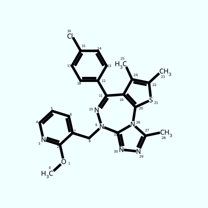 COc1ncccc1CN1N=C(c2ccc(Cl)cc2)c2c(sc(C)c2C)-n2c(C)nnc21